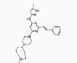 Cc1cc(Nc2cc(N3CCN(C4CCN(C)CC4)CC3)nc(C=Cc3ccccc3)n2)n[nH]1